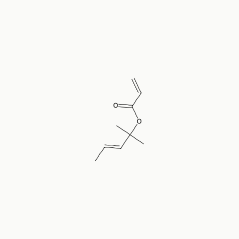 C=CC(=O)OC(C)(C)C=CC